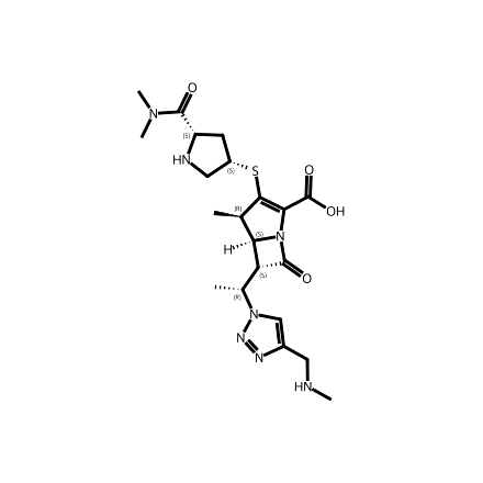 CNCc1cn([C@H](C)[C@H]2C(=O)N3C(C(=O)O)=C(S[C@@H]4CN[C@H](C(=O)N(C)C)C4)[C@H](C)[C@H]23)nn1